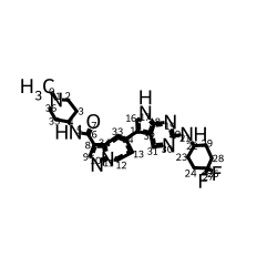 CN1CCC(NC(=O)c2cnn3ccc(-c4c[nH]c5nc(NC6CCC(F)(F)CC6)ncc45)cc23)CC1